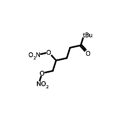 CC(C)(C)C(=O)CCC(CO[N+](=O)[O-])O[N+](=O)[O-]